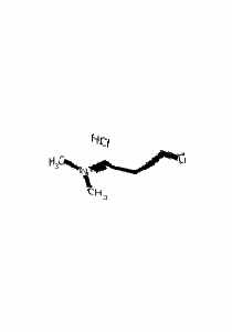 C[N+](C)=CCCCl.Cl